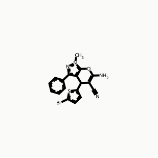 Cn1nc(-c2ccccc2)c2c1OC(N)=C(C#N)C2c1ccc(Br)s1